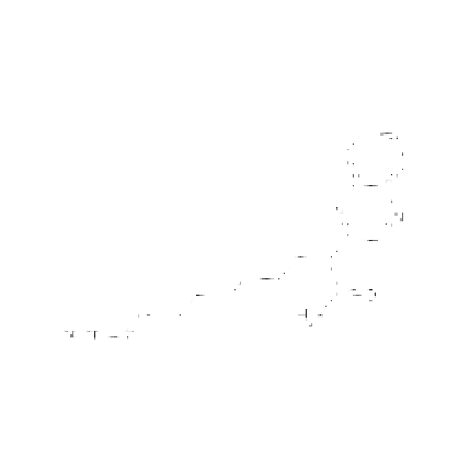 CCCCCCCCC=CCCCCCCC(C(N)=O)c1cnc2ccccc2c1